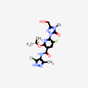 CCn1c(CO)nn(-c2nc(O[C@@H](C)C(F)(F)F)c(C(=O)Nc3c(C)n[nH]c3Cl)cc2F)c1=O